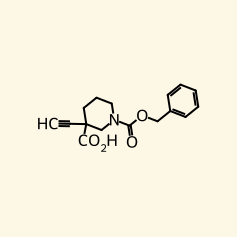 C#CC1(C(=O)O)CCCN(C(=O)OCc2ccccc2)C1